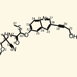 COCC(C)(C#N)NC(=O)C(Oc1ccc2ncc(C#CCO)cc2c1)SC